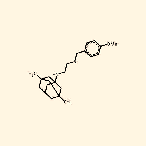 COc1ccc(CSCCNC23CC4CC(C)(CC(C)(C4)C2)C3)cc1